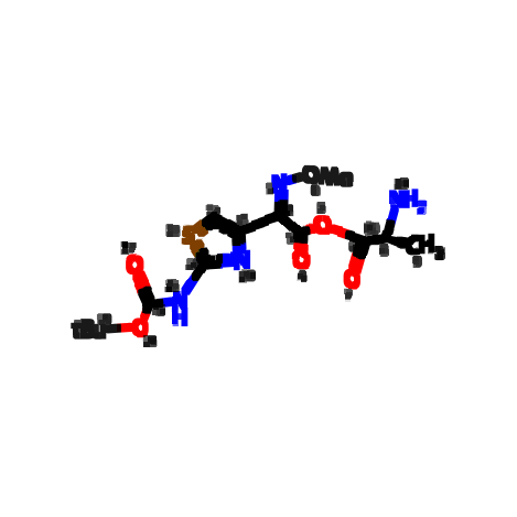 CON=C(C(=O)OC(=O)[C@H](C)N)c1csc(NC(=O)OC(C)(C)C)n1